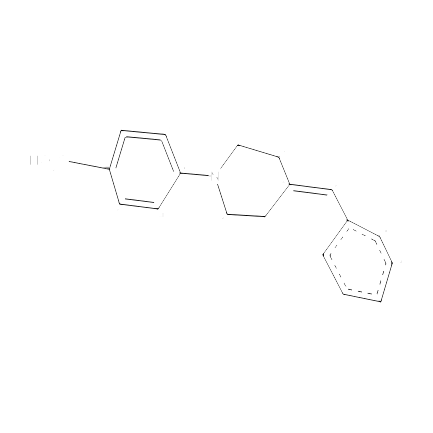 O=C(O)C1=C=C=C(N2CCC(=Cc3ccccc3)CC2)C=C1